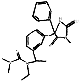 CCN(C(=O)N(C)C)C(C)c1cccc(C2(c3ccccc3)NC(=N)N(C)C2=O)c1